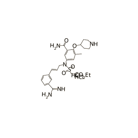 CCOC(=O)CS(=O)(=O)N(C/C=C/c1cccc(C(=N)N)c1)c1cc(C)c(OC2CCNCC2)c(C(N)=O)c1.Cl.Cl